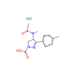 CC(=O)N(C)C1CN(C(=O)O)N=C1c1ccc(C)cc1.Cl